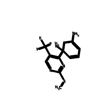 CSc1ncc(C(F)(F)F)c(C2(N)C=CC=C(N)C2)n1